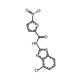 O=C(Nc1nc2c(Cl)cccc2s1)c1ccc([N+](=O)[O-])s1